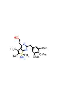 COc1cc(Cc2nc(CCO)c3c(n2)S(C)(N)C(C#N)=C3C)cc(OC)c1OC